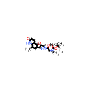 Cc1cc2c(c3ccc(=O)[nH]c13)OC(CNC(=O)CN(C)C(=O)OC(C)(C)C)C2